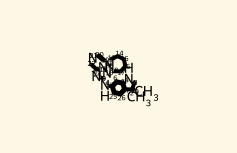 CC1(C)CNc2cc(NC3=N[N+]4(N5CCCCCC5)C=CN=CC4=N3)ccc21